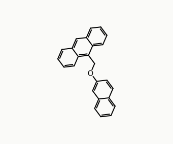 c1ccc2cc(OCc3c4ccccc4cc4ccccc34)ccc2c1